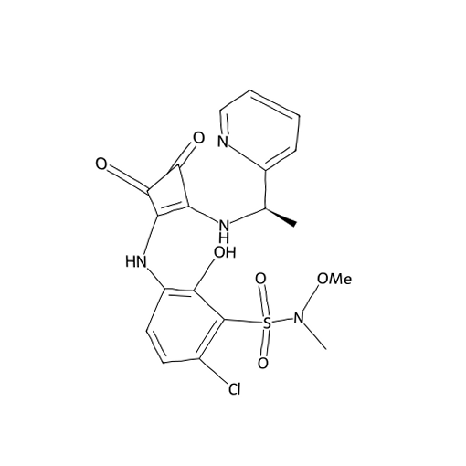 CON(C)S(=O)(=O)c1c(Cl)ccc(Nc2c(N[C@H](C)c3ccccn3)c(=O)c2=O)c1O